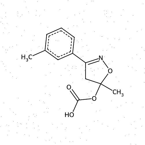 Cc1cccc(C2=NOC(C)(OC(=O)O)C2)c1